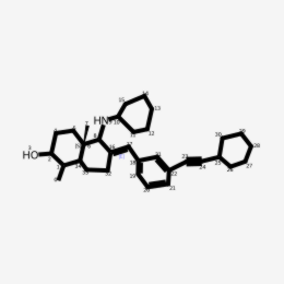 CC1C(O)CC[C@]2(C)C(NC3CCCCC3)/C(=C/c3cccc(C#CC4CCCCC4)c3)CCC12